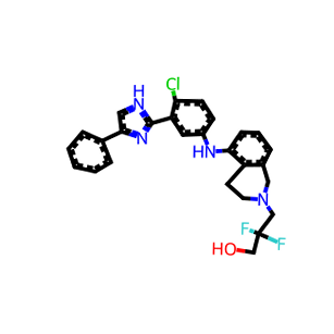 OCC(F)(F)CN1CCc2c(cccc2Nc2ccc(Cl)c(-c3nc(-c4ccccc4)c[nH]3)c2)C1